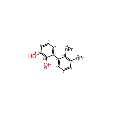 CCCc1cccc(-c2cccc(O)c2O)c1CCC